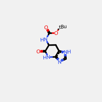 CC(C)(C)OC(=O)NC1Cc2[nH]cnc2NC1=O